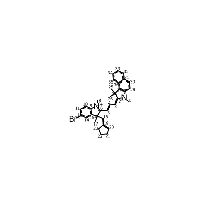 CN1/C(=C/C=C/C2=[N+](C)c3ccc(Br)cc3C2(C)CC2=CCCC2)C(C)(C)c2c1ccc1ccccc21